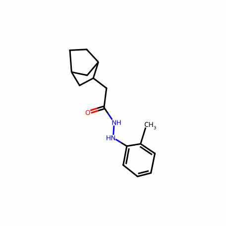 Cc1ccccc1NNC(=O)CC1CC2CCC1C2